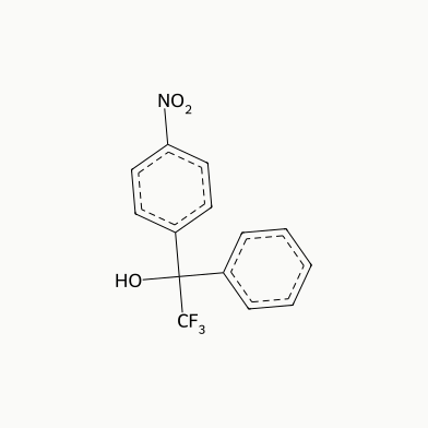 O=[N+]([O-])c1ccc(C(O)(c2ccccc2)C(F)(F)F)cc1